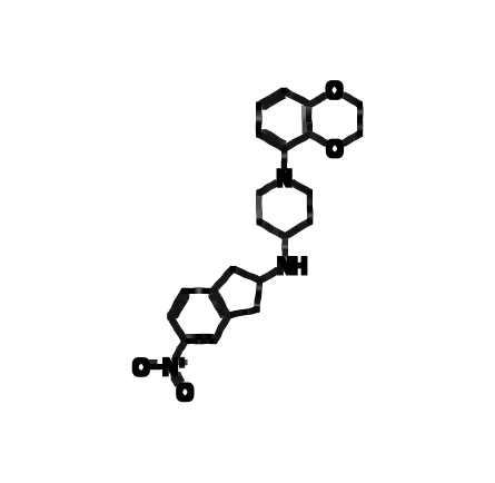 O=[N+]([O-])c1ccc2c(c1)CC(NC1CCN(c3cccc4c3OCCO4)CC1)C2